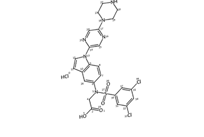 Cl.O=C(O)CN(c1ccc2c(ccn2-c2cnc(N3CCNCC3)cn2)c1)S(=O)(=O)c1cc(Cl)cc(Cl)c1